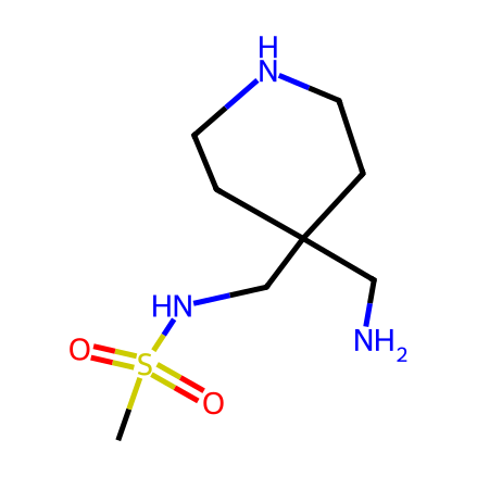 CS(=O)(=O)NCC1(CN)CCNCC1